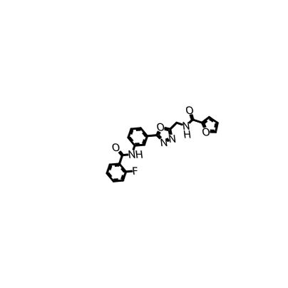 O=C(NCc1nnc(-c2cccc(NC(=O)c3ccccc3F)c2)o1)c1ccco1